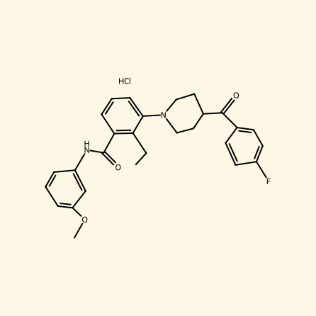 CCc1c(C(=O)Nc2cccc(OC)c2)cccc1N1CCC(C(=O)c2ccc(F)cc2)CC1.Cl